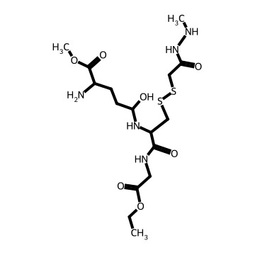 CCOC(=O)CNC(=O)C(CSSCC(=O)NNC)NC(O)CCC(N)C(=O)OC